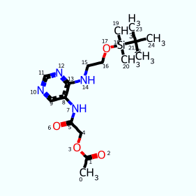 CC(=O)OCC(=O)Nc1cncnc1NCCO[Si](C)(C)C(C)(C)C